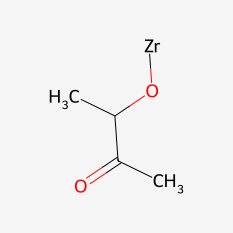 CC(=O)C(C)[O][Zr]